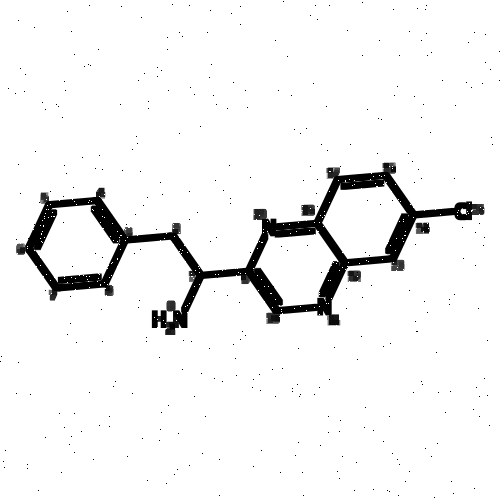 NC(Cc1ccccc1)c1cnc2cc(Cl)ccc2n1